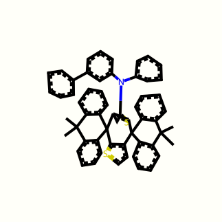 CC1(C)c2ccccc2C2(c3ccccc31)c1cc(N(c3ccccc3)c3cccc(-c4ccccc4)c3)sc1C1(c3ccccc3C(C)(C)c3ccccc31)c1ccsc12